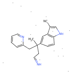 CC(CC=N)(Cc1ccccn1)c1ccc2[nH]cc(C#N)c2c1